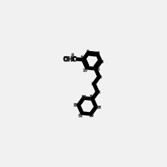 O=Cc1cccc(CCCC2CCCCC2)c1